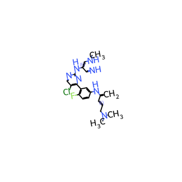 C=C(/C=C/CN(C)C)Nc1ccc(F)c(-c2nc(N/C(C=N)=C/NC)ncc2Cl)c1